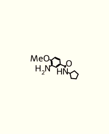 COc1ccc(C(=O)NC2CCCC2)cc1N